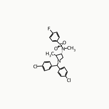 C[C@H]1[C@H](N(C)S(=O)(=O)c2ccc(F)cc2)CN1C(c1ccc(Cl)cc1)c1ccc(Cl)cc1